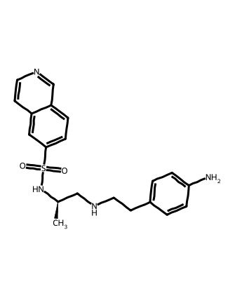 C[C@H](CNCCc1ccc(N)cc1)NS(=O)(=O)c1ccc2cnccc2c1